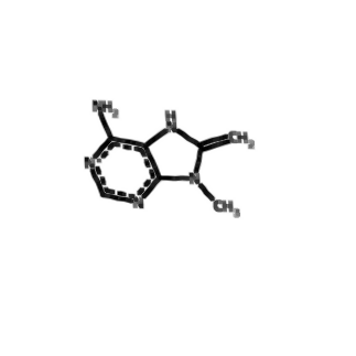 C=C1Nc2c(N)ncnc2N1C